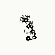 CNC(=O)c1ccc(Nc2nccn3c(-c4cn(CC5CCN(Cc6ccccc6)C5)nc4C(F)(F)F)cnc23)cc1Cl